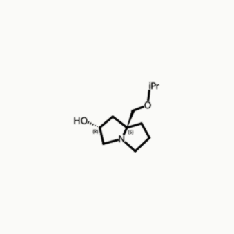 CC(C)OC[C@@]12CCCN1C[C@H](O)C2